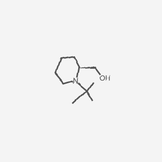 CC(C)(C)N1CCCC[C@H]1CO